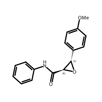 COc1ccc([C@@H]2O[C@H]2C(=O)Nc2ccccc2)cc1